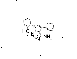 Nc1ncnc2c1c(-c1ccccc1)cn2-c1ccccc1O